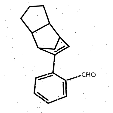 O=Cc1ccccc1C1=CC2CC1C1CCCC21